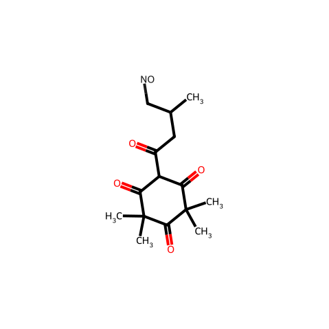 CC(CN=O)CC(=O)C1C(=O)C(C)(C)C(=O)C(C)(C)C1=O